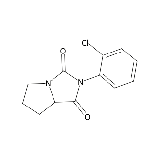 O=C1C2CCCN2C(=O)N1c1ccccc1Cl